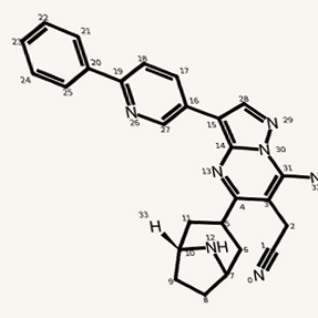 N#CCc1c(C2CC3CC[C@H](C2)N3)nc2c(-c3ccc(-c4ccccc4)nc3)cnn2c1N